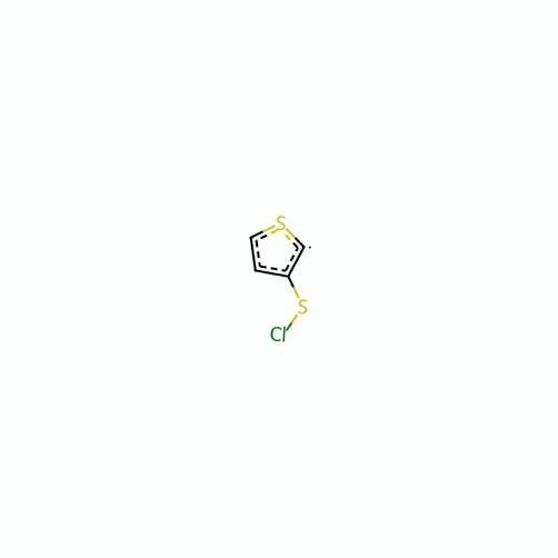 ClSc1[c]scc1